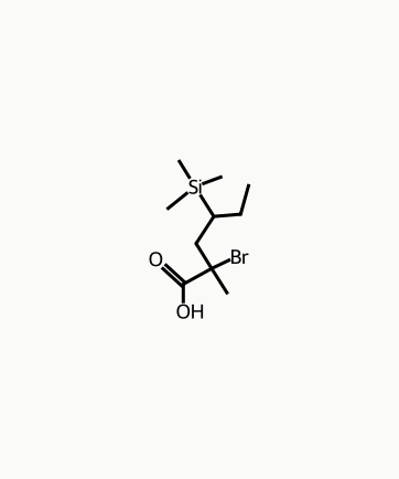 CCC(CC(C)(Br)C(=O)O)[Si](C)(C)C